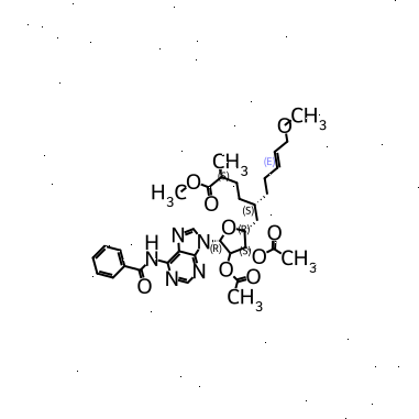 COC/C=C/CC[C@@H](CC[C@H](C)C(=O)OC)C[C@H]1O[C@@H](n2cnc3c(NC(=O)c4ccccc4)ncnc32)C(OC(C)=O)[C@H]1OC(C)=O